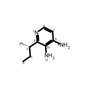 CC[C@H](C)c1nccc(N)c1N